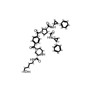 CCCCCCCCCCCCCCNC(=O)[C@@H]1CN(C(=O)c2ccc(C(=O)N3C[C@@H](C(=O)N[C@H]4C[C@@H]4c4ccccc4)[C@H](C(=O)N[C@H]4C[C@@H]4c4ccccc4)C3)cc2)CCN1